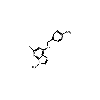 Cc1ccc(CNc2nc(F)nc3c2ncn3C)cc1